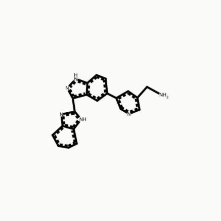 NCc1cncc(-c2ccc3[nH]nc(-c4nc5ccccc5[nH]4)c3c2)c1